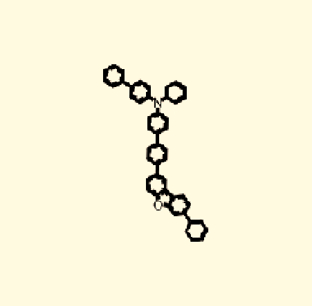 C1=CCCC(c2ccc3c(c2)oc2ccc(-c4ccc(-c5ccc(N(c6ccc(-c7ccccc7)cc6)C6C=CC=CC6)cc5)cc4)cc23)=C1